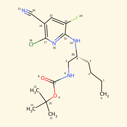 CCCC[C@H](CNC(=O)OC(C)(C)C)Nc1nc(Cl)c(C#N)cc1F